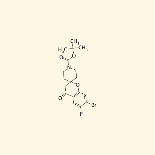 CC(C)(C)OC(=O)N1CCC2(CC1)CC(=O)c1cc(F)c(Br)cc1O2